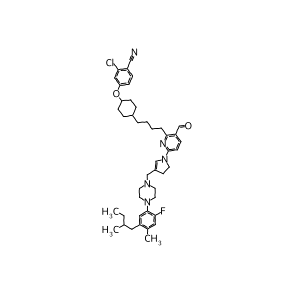 CCC(C)Cc1cc(N2CCN(CC3=CN(c4ccc(C=O)c(CCCCC5CCC(Oc6ccc(C#N)c(Cl)c6)CC5)n4)CC3)CC2)c(F)cc1C